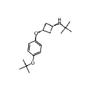 CC(C)(C)N[C@H]1C[C@@H](Oc2ccc(OC(C)(C)C)cc2)C1